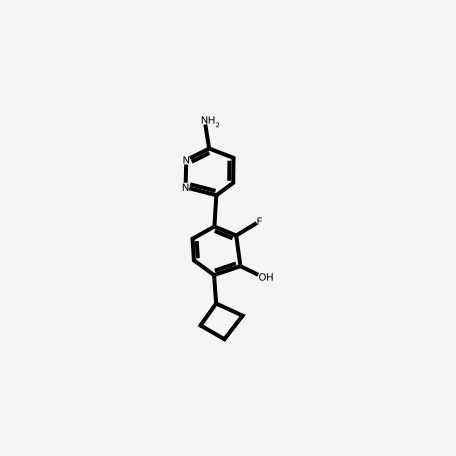 Nc1ccc(-c2ccc(C3CCC3)c(O)c2F)nn1